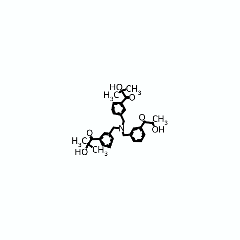 CC(O)C(=O)c1cccc(CN(Cc2cccc(C(=O)C(C)(C)O)c2)Cc2cccc(C(=O)C(C)(C)O)c2)c1